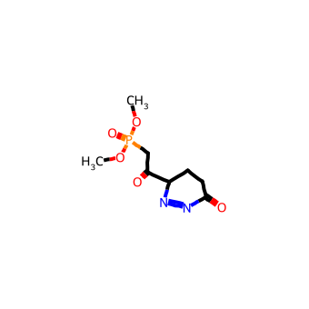 COP(=O)(CC(=O)C1CCC(=O)N=N1)OC